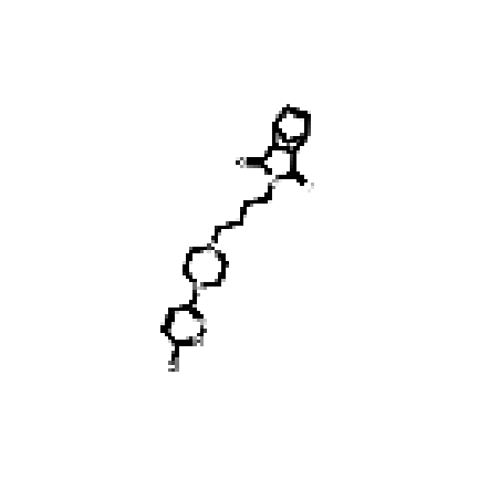 O=C1C2C3C=CC(C3)C2C(=O)N1CCCCN1CCN(c2ccc(Cl)nn2)CC1